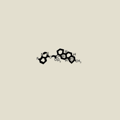 C[C@H]1CC[C@@]2(C)[C@@H](CC[C@@H]3[C@@H]2CC[C@]2(C)[C@@H](C(=O)COc4ncnc5c(F)cccc45)CCC[C@@H]32)C1